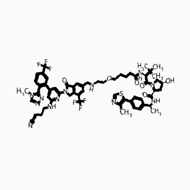 Cc1ncsc1-c1ccc([C@H](C)NC(=O)[C@@H]2C[C@@H](O)CN2C(=O)[C@@H](NC(=O)CCCCOCCNCc2cc3c(c(C(F)(F)F)c2)CN(c2cc(-c4cc(C(F)(F)F)ccc4-c4nncn4C)cc(NCCCC#N)n2)C3=O)C(C)(C)C)cc1